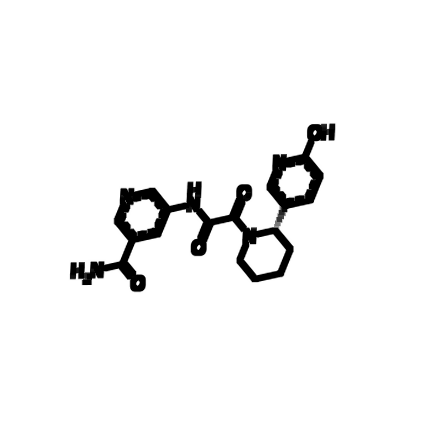 NC(=O)c1cncc(NC(=O)C(=O)N2CCCC[C@H]2c2ccc(O)nc2)c1